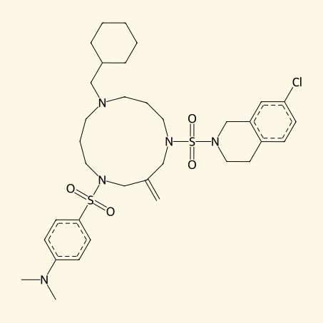 C=C1CN(S(=O)(=O)c2ccc(N(C)C)cc2)CCCN(CC2CCCCC2)CCCN(S(=O)(=O)N2CCc3ccc(Cl)cc3C2)C1